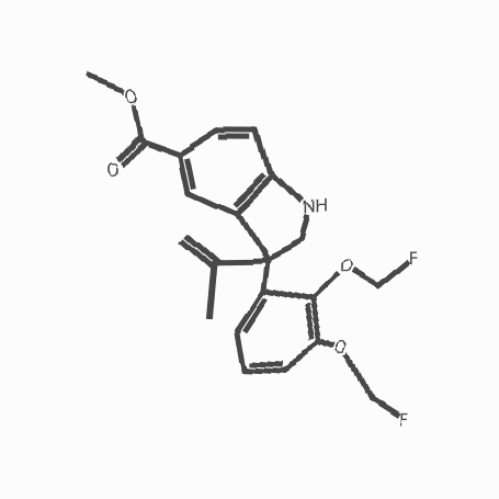 C=C(C)C1(c2cccc(OCF)c2OCF)CNc2ccc(C(=O)OC)cc21